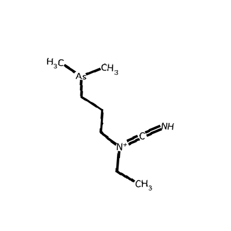 CC[N+](=C=N)CCC[As](C)C